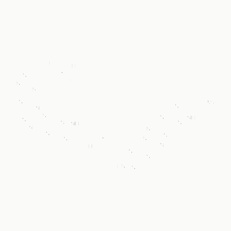 COCc1nc(Nc2nnc(Nc3n[nH]c(CO[Si](C)(C)OCc4nc(Nc5nnc(Nc6n[nH]c(CO[Si](C)(C)C)n6)nn5)n[nH]4)n3)nn2)n[nH]1